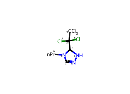 CCCN1C=NNC1C(Cl)(Cl)C(Cl)(Cl)Cl